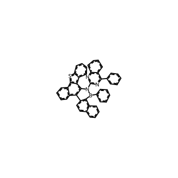 c1ccc(B2c3c(ccc4ccccc34)-c3c(c4c5ccccc5sc4c4ccccc34)N2c2nc(-c3ccccc3)c3ccccc3n2)cc1